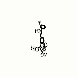 O=S1(=O)c2ccc(/C=C/Nc3cccc(F)c3)cc2C(CO)N1CCO